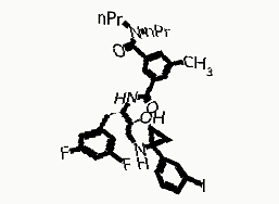 CCCN(CCC)C(=O)c1cc(C)cc(C(=O)N[C@@H](Cc2cc(F)cc(F)c2)[C@H](O)CNC2(c3cccc(I)c3)CC2)c1